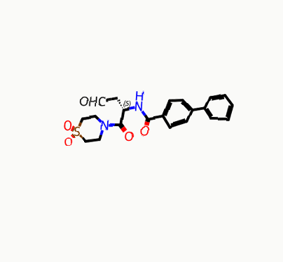 O=CC[C@H](NC(=O)c1ccc(-c2ccccc2)cc1)C(=O)N1CCS(=O)(=O)CC1